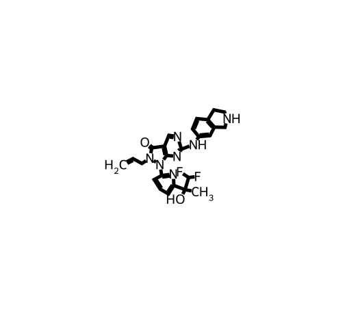 C=CCn1c(=O)c2cnc(Nc3ccc4c(c3)CNCC4)nc2n1-c1cccc(C(C)(O)C(F)F)n1